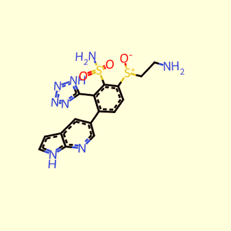 NCC[S+]([O-])c1ccc(-c2cnc3[nH]ccc3c2)c(-c2nnn[nH]2)c1S(N)(=O)=O